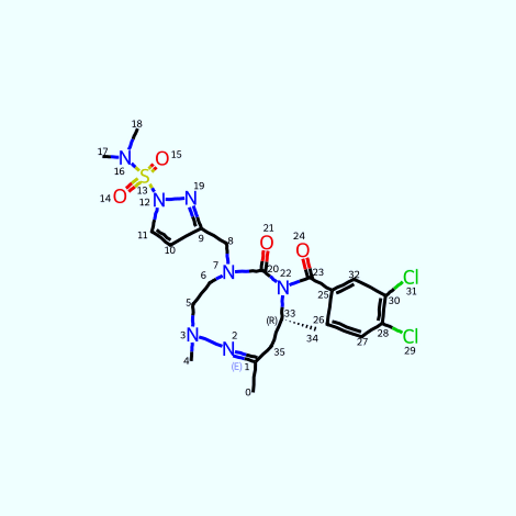 C/C1=N\N(C)CCN(Cc2ccn(S(=O)(=O)N(C)C)n2)C(=O)N(C(=O)c2ccc(Cl)c(Cl)c2)[C@H](C)C1